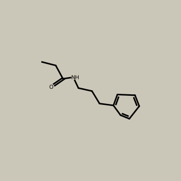 CCC(=O)NCCCc1ccccc1